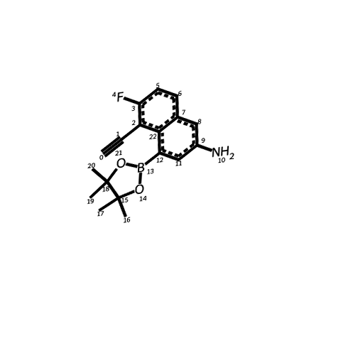 C#Cc1c(F)ccc2cc(N)cc(B3OC(C)(C)C(C)(C)O3)c12